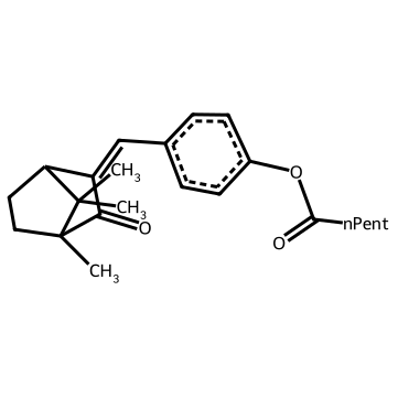 CCCCCC(=O)Oc1ccc(C=C2C(=O)C3(C)CCC2C3(C)C)cc1